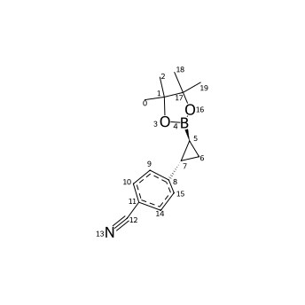 CC1(C)OB([C@H]2C[C@@H]2c2ccc(C#N)cc2)OC1(C)C